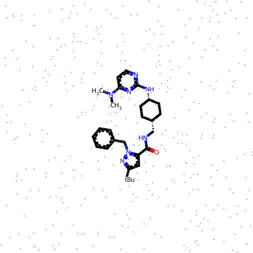 CN(C)c1ccnc(N[C@H]2CC[C@@H](CNC(=O)c3cc(C(C)(C)C)nn3Cc3ccccc3)CC2)n1